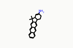 CC1(C)c2cc3cc4ccccc4cc3cc2C2CCC(N)=CC21